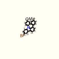 COc1ccc(-n2c3ccc(Br)cc3c3cccc(-c4[c]cccc4)c32)cc1